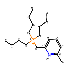 CCCC[PH](CCCC)(CCCC)Cc1cccc(C)n1